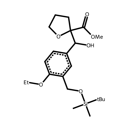 CCOc1ccc(C(O)C2(C(=O)OC)CCCO2)cc1CO[Si](C)(C)C(C)(C)C